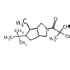 CC1C2CN(C(=O)C(C)(C)C)CC2CC1C(C)(C)C